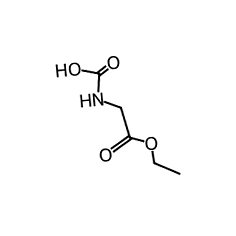 CCOC(=O)CNC(=O)O